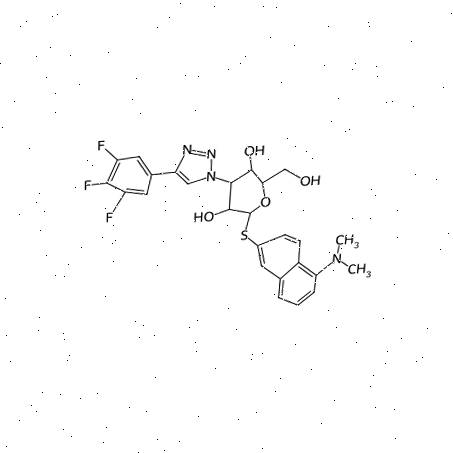 CN(C)c1cccc2cc(SC3OC(CO)C(O)C(n4cc(-c5cc(F)c(F)c(F)c5)nn4)C3O)ccc12